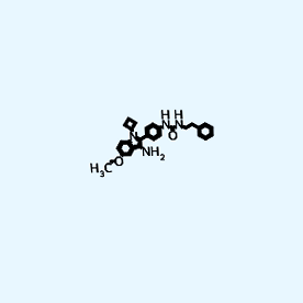 CCOc1ccc2c(c1)c(N)c(-c1ccc(NC(=O)NCCc3ccccc3)cc1)n2C1CCC1